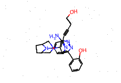 Nc1nnc(-c2ccccc2O)cc1N1CC2CCC(C1)N2c1ccnc(C#CCCO)c1